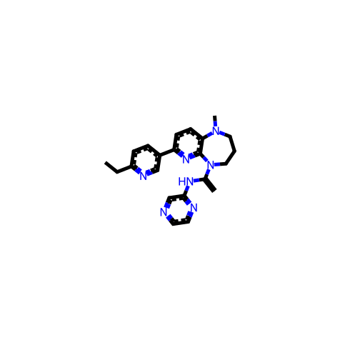 C=C(Nc1cnccn1)N1CCCN(C)c2ccc(-c3ccc(CC)nc3)nc21